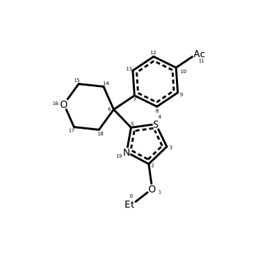 CCOc1csc(C2(c3ccc(C(C)=O)cc3)CCOCC2)n1